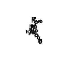 Cc1ncc(NC(=O)c2cc(N3CCCC3)cc(C(F)(F)F)c2)cc1C(=O)Nc1ccc(OCc2ccccn2)cc1